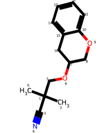 CC(C)(C#N)COC1COc2ccccc2C1